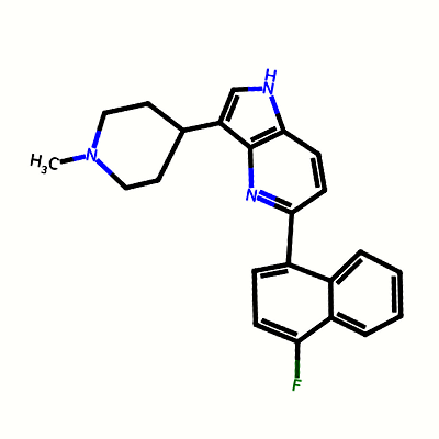 CN1CCC(c2c[nH]c3ccc(-c4ccc(F)c5ccccc45)nc23)CC1